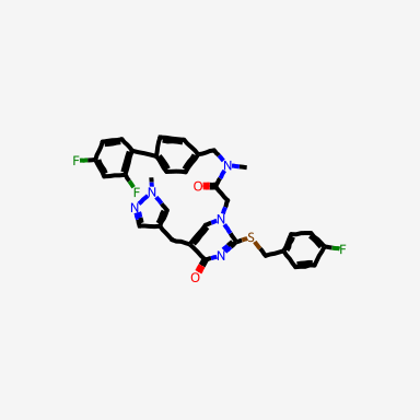 CN(Cc1ccc(-c2ccc(F)cc2F)cc1)C(=O)Cn1cc(Cc2cnn(C)c2)c(=O)nc1SCc1ccc(F)cc1